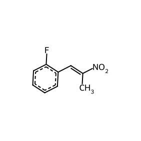 CC(=Cc1ccccc1F)[N+](=O)[O-]